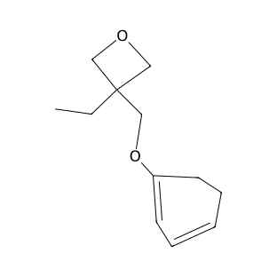 CCC1(COC2=CC=CCC2)COC1